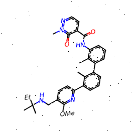 CCC(C)(C)NCc1ccc(-c2cccc(-c3cccc(NC(=O)c4ccnn(C)c4=O)c3C)c2C)nc1OC